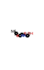 N#Cc1ccc(Oc2ccc3nc(C(=O)N[C@H]4CCC[C@H](O)C4)ccc3c2)cc1